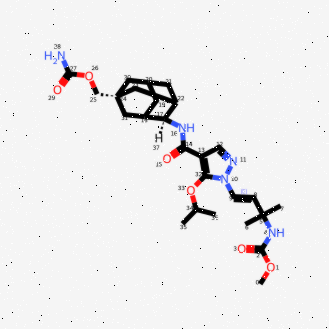 COC(=O)NC(C)(C)/C=C/n1ncc(C(=O)N[C@H]2C3CC4CC2C[C@](COC(N)=O)(C4)C3)c1OC(C)C